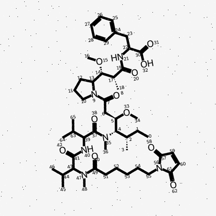 CC[C@H](C)[C@@H]([C@@H](CC(=O)N1CCCC1[C@H](OC)[C@@H](C)C(=O)NC(Cc1ccccc1)C(=O)O)OC)N(C)C(=O)C(NC(=O)C(C(C)C)N(C)C(=O)CCCCCN1C(=O)C=CC1=O)C(C)C